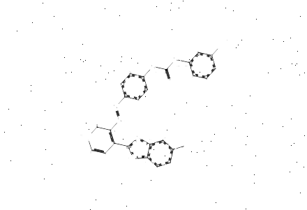 CC(C)(C)c1ccc2oc(C3=C(N=Nc4ccc(NC(=O)Nc5cccc(Cl)c5)cc4)COC=C3)nc2c1